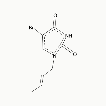 CC=CCn1cc(Br)c(=O)[nH]c1=O